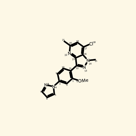 COc1cc(-n2cccn2)ccc1-c1nn(C)c2c(Cl)cc(C)nc12